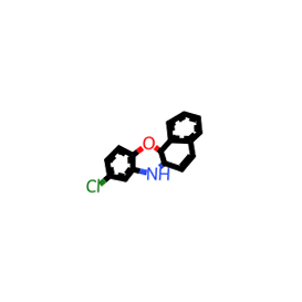 Clc1ccc2c(c1)NC1C=Cc3ccccc3C1O2